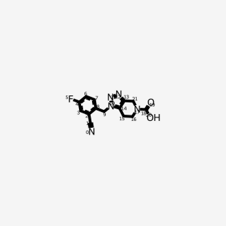 N#Cc1cc(F)ccc1Cn1nnc2c1CCN(C(=O)O)C2